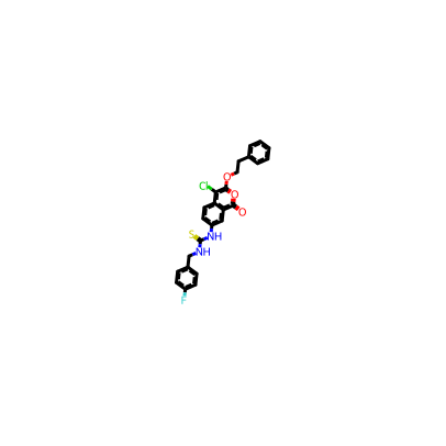 O=c1oc(OCCc2ccccc2)c(Cl)c2ccc(NC(=S)NCc3ccc(F)cc3)cc12